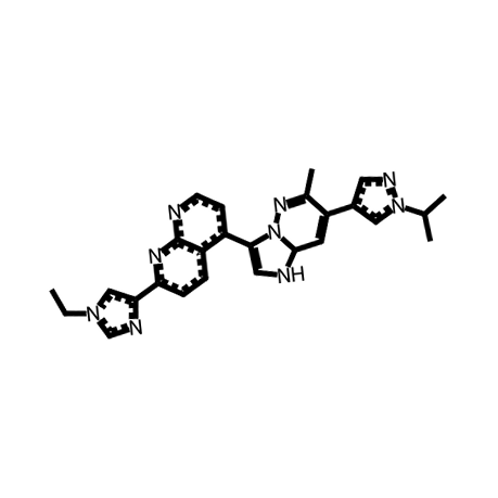 CCn1cnc(-c2ccc3c(C4=CNC5C=C(c6cnn(C(C)C)c6)C(C)=NN45)ccnc3n2)c1